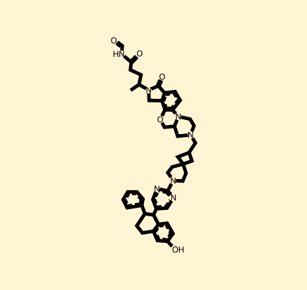 CC(CCC(=O)NC=O)N1Cc2c(ccc3c2OCC2CN(CC4CC5(CCN(c6ncc(C7c8ccc(O)cc8CCC7c7ccccc7)cn6)CC5)C4)CCN32)C1=O